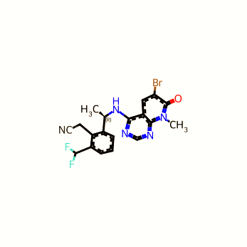 C[C@@H](Nc1ncnc2c1cc(Br)c(=O)n2C)c1cccc(C(F)F)c1CC#N